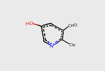 N#Cc1ncc(O)cc1C=O